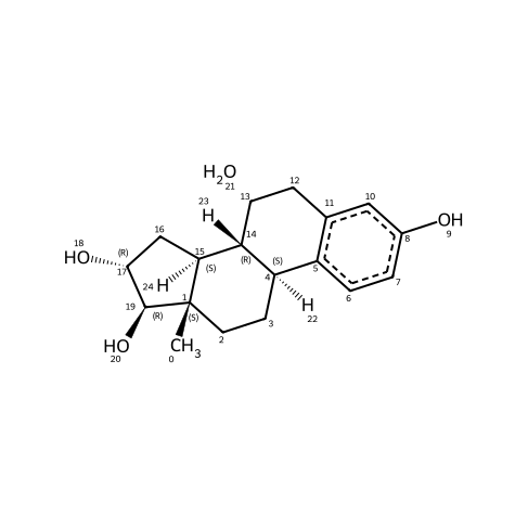 C[C@]12CC[C@@H]3c4ccc(O)cc4CC[C@H]3[C@@H]1C[C@@H](O)[C@@H]2O.O